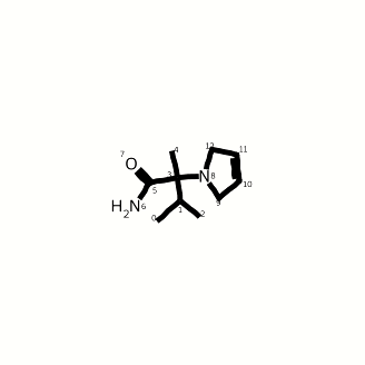 CC(C)C(C)(C(N)=O)N1CC=CC1